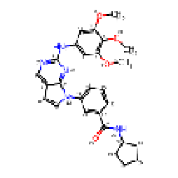 COc1cc(Nc2ncc3ccn(-c4cccc(C(=O)NC5CCCC5)c4)c3n2)cc(OC)c1OC